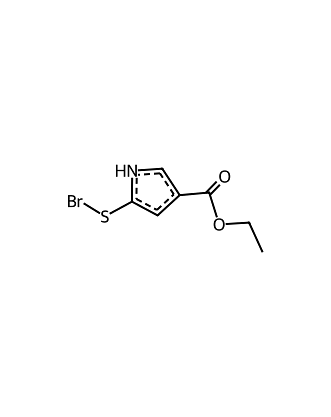 CCOC(=O)c1c[nH]c(SBr)c1